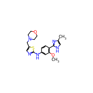 COc1cc(Nc2ncc(CN3CCOCC3)s2)ccc1-c1nc(C)c[nH]1